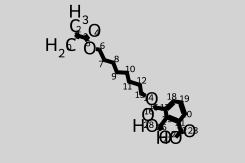 C=C(C)C(=O)OCCCCCCCCOC(=O)c1cccc(C(=O)O)c1C(=O)O